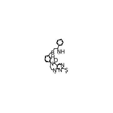 CNC(CBCc1cccc(N2CCN(C)c3nc(SC)ncc3C2=O)c1)c1ccccc1